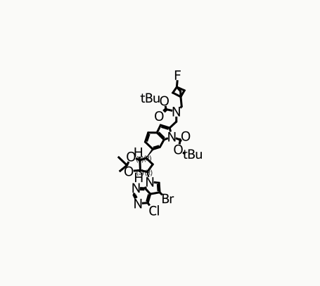 CC(C)(C)OC(=O)N(Cc1cc2ccc([C@H]3C[C@@H](n4cc(Br)c5c(Cl)ncnc54)[C@@H]4OC(C)(C)O[C@@H]43)cc2n1C(=O)OC(C)(C)C)CC12CC(F)(C1)C2